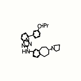 CC(C)Oc1cccc(-c2cccc3nc(Nc4ccc5c(c4)CC[C@@H](N4CCCC4)CC5)nn23)c1